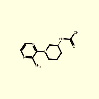 Nc1nccnc1N1CCC[C@@H](NC(=O)O)C1